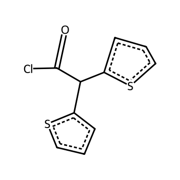 O=C(Cl)C(c1cccs1)c1cccs1